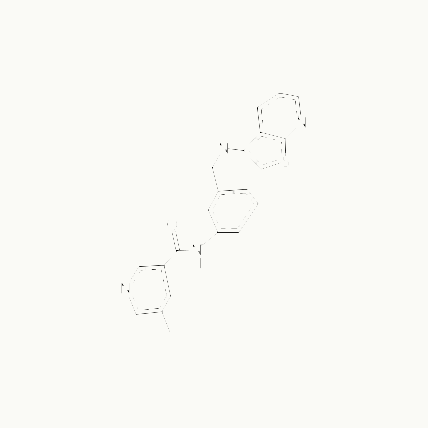 Cc1cncc(C(=O)Nc2cccc([C@H](C)Nc3csc4ncccc34)c2)c1